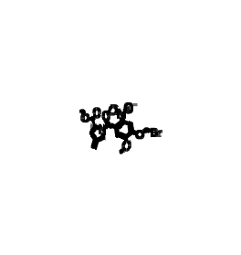 C=C1C[C@@H](C(=O)OC)N(C(=O)c2cc(OC)c(OCBr)cc2[N+](=O)[O-])C1